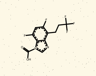 O=C(O)n1cnc2c(CCC(F)(F)F)c(F)cc(F)c21